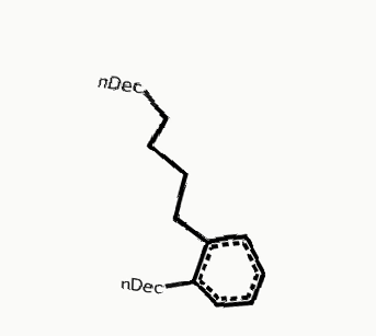 CCCCCCCCCCCCCCc1ccccc1CCCCCCCCCC